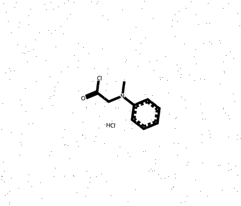 CN(CC(=O)Cl)c1ccccc1.Cl